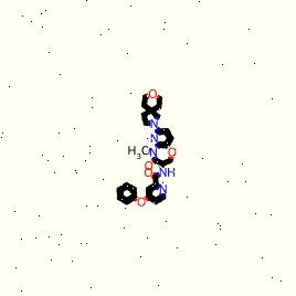 CN1C(=O)[C@@H](NC(=O)c2cc(Oc3ccccc3)ccn2)COc2ccc(N3CCC4(CCOCC4)C3)nc21